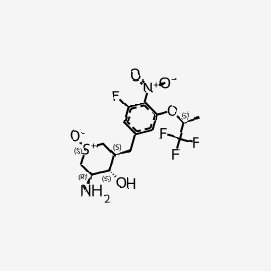 C[C@H](Oc1cc(C[C@@H]2C[S@@+]([O-])C[C@H](N)[C@H]2O)cc(F)c1[N+](=O)[O-])C(F)(F)F